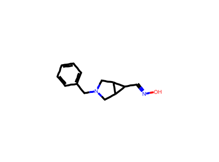 ON=CC1C2CN(Cc3ccccc3)CC12